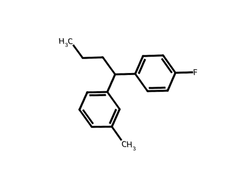 CCCC(c1ccc(F)cc1)c1cccc(C)c1